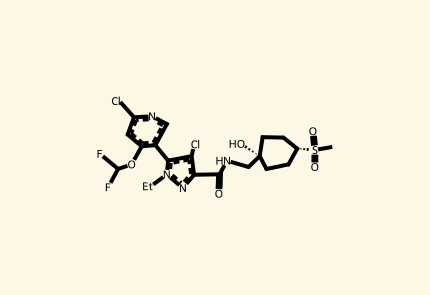 CCn1nc(C(=O)NC[C@]2(O)CC[C@@H](S(C)(=O)=O)CC2)c(Cl)c1-c1cnc(Cl)cc1OC(F)F